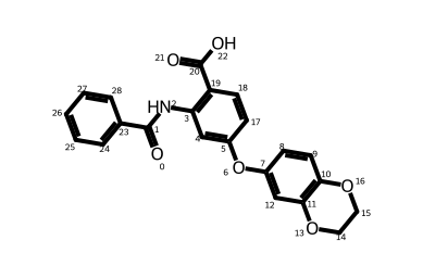 O=C(Nc1cc(Oc2ccc3c(c2)OCCO3)ccc1C(=O)O)c1ccccc1